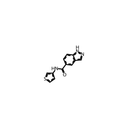 O=C(Nc1ccsc1)c1ccc2[nH]ncc2c1